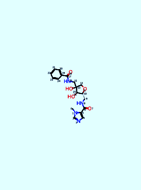 Cn1cncc1C(=O)NC[C@H]1OC[C@@](O)(CNC(=O)c2ccccc2)[C@@H]1O